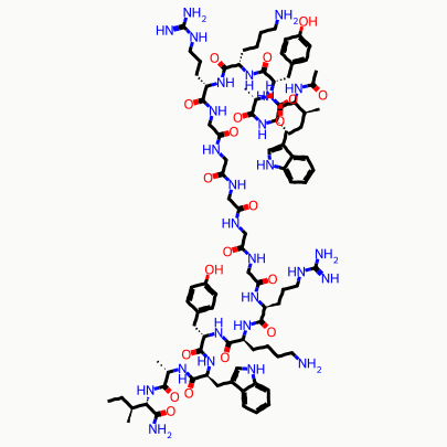 CC[C@H](C)[C@H](NC(=O)[C@H](C)NC(=O)[C@H](Cc1c[nH]c2ccccc12)NC(=O)[C@H](Cc1ccc(O)cc1)NC(=O)[C@H](CCCCN)NC(=O)[C@H](CCCNC(=N)N)NC(=O)CNC(=O)CNC(=O)CNC(=O)CNC(=O)CNC(=O)[C@H](CCCNC(=N)N)NC(=O)[C@H](CCCCN)NC(=O)[C@H](Cc1ccc(O)cc1)NC(=O)[C@H](Cc1c[nH]c2ccccc12)NC(=O)[C@H](C)NC(=O)[C@@H](NC(C)=O)[C@@H](C)CC)C(N)=O